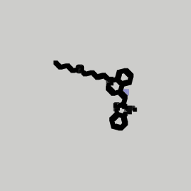 CCCCOCCC=CN1C=C/C(=C\c2sc3ccccc3[n+]2C)c2ccccc21